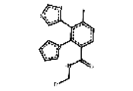 Cc1ccc(C(=O)NCC(C)C)c(-n2cccc2)c1-c1cscn1